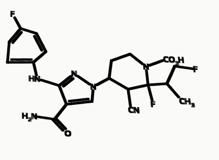 CC(CF)C1(F)C(C#N)C(n2cc(C(N)=O)c(Nc3ccc(F)cc3)n2)CCN1C(=O)O